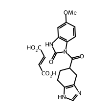 COc1ccc2c(c1)[nH]c(=O)n2C(=O)C1CCc2[nH]cnc2C1.O=C(O)/C=C/C(=O)O